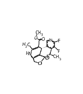 COC(=O)C1=C(C)NC2=C(C(=O)OC2)[C@H]1c1cnc(F)c(F)c1[C@@H](C)F